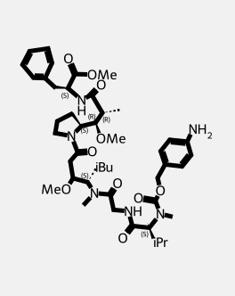 CCC(C)[C@@H](C(CC(=O)N1CCC[C@H]1[C@H](OC)[C@@H](C)C(=O)N[C@@H](Cc1ccccc1)C(=O)OC)OC)N(C)C(=O)CNC(=O)[C@H](C(C)C)N(C)C(=O)OCc1ccc(N)cc1